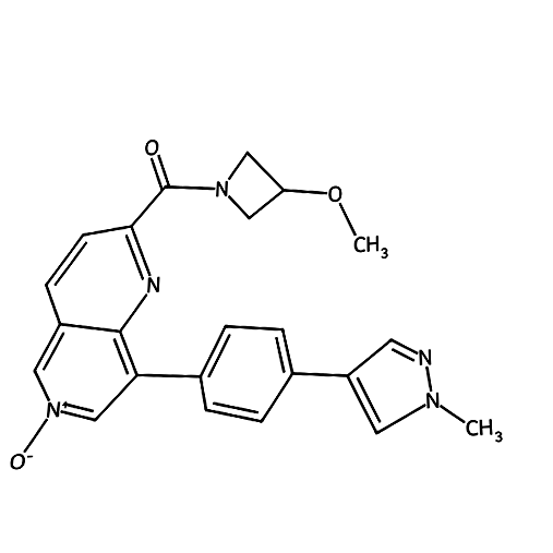 COC1CN(C(=O)c2ccc3c[n+]([O-])cc(-c4ccc(-c5cnn(C)c5)cc4)c3n2)C1